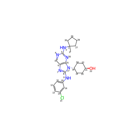 CC1(Nc2ncc3nc(Nc4cccc(Cl)c4)n([C@H]4CC[C@H](O)CC4)c3n2)CCCC1